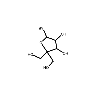 CC(C)C1OC(CO)(CO)C(O)C1O